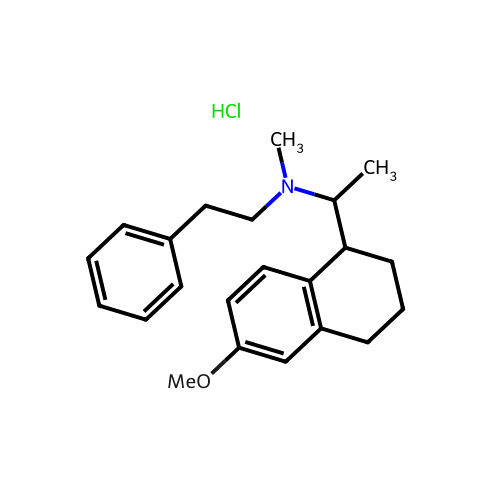 COc1ccc2c(c1)CCCC2C(C)N(C)CCc1ccccc1.Cl